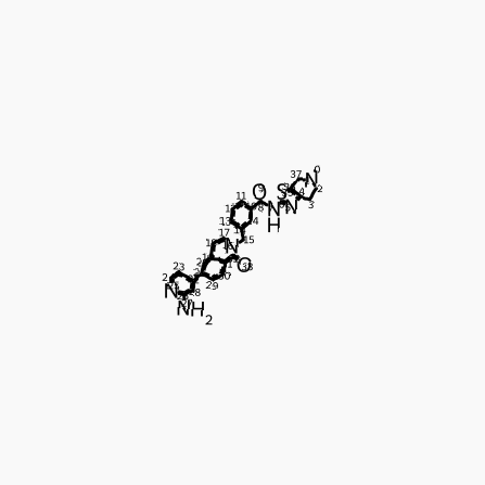 CN1CCc2nc(NC(=O)c3cccc(Cn4ccc5cc(-c6ccnc(N)c6)ccc5c4=O)c3)sc2C1